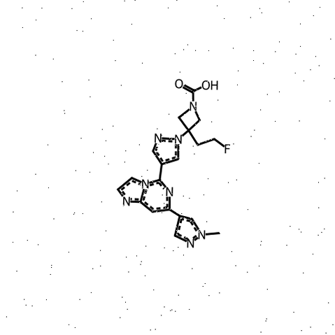 Cn1cc(-c2cc3nccn3c(-c3cnn(C4(CCF)CN(C(=O)O)C4)c3)n2)cn1